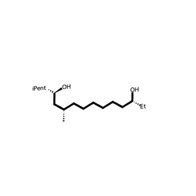 CCC[C@@H](C)[C@@H](O)C[C@@H](C)CCCCCC[C@H](O)CC